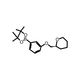 CC1(C)OB(c2cccc(OC[C@@H]3CCCCO3)c2)OC1(C)C